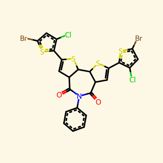 O=C1C2C=C(c3sc(Br)cc3Cl)SC2C2SC(c3sc(Br)cc3Cl)=CC2C(=O)N1c1ccccc1